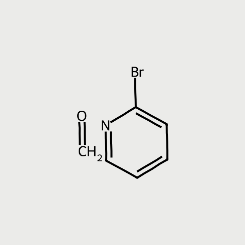 Brc1ccccn1.C=O